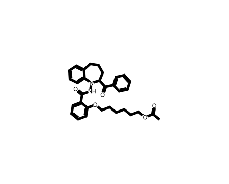 CC(=O)OCCCCCCOc1ccccc1C(=O)NN1c2ccccc2CCCC1C(=O)c1ccccc1